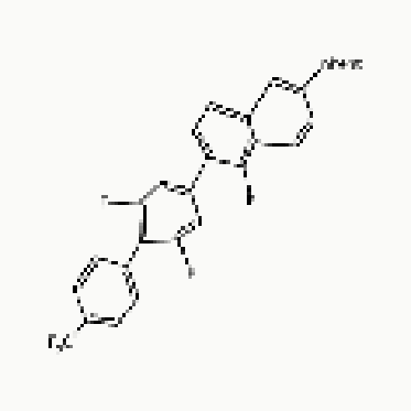 CCCCCc1ccc2c(F)c(-c3cc(F)c(-c4ccc(C(F)(F)F)cc4)c(F)c3)ccc2c1